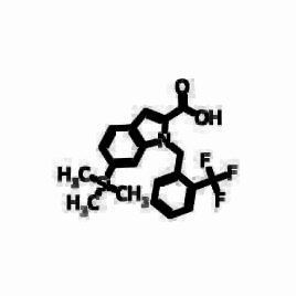 C[Si](C)(C)c1ccc2cc(C(=O)O)n(Cc3ccccc3C(F)(F)F)c2c1